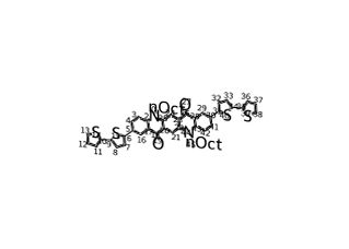 CCCCCCCCn1c2ccc(-c3ccc(-c4cccs4)s3)cc2c(=O)c2cc3c(cc21)c(=O)c1cc(-c2ccc(-c4cccs4)s2)ccc1n3CCCCCCCC